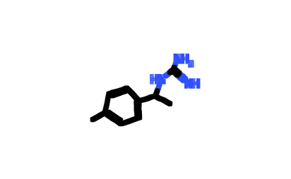 Cc1ccc(C(C)NC(=N)N)cc1